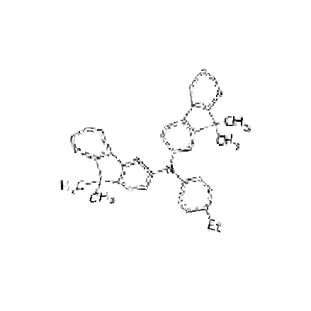 CCc1ccc(N(c2ccc3c(c2)-c2ccccc2C3(C)C)c2ccc3c(c2)C(C)(C)c2ccccc2-3)cc1